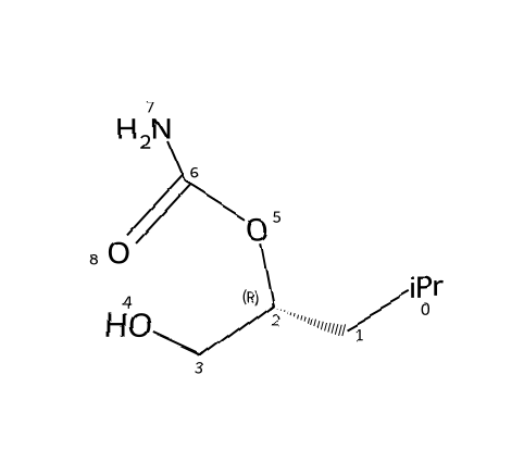 CC(C)C[C@H](CO)OC(N)=O